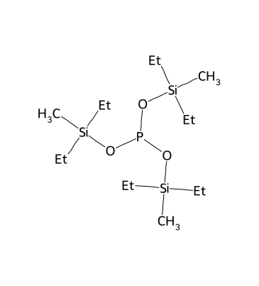 CC[Si](C)(CC)OP(O[Si](C)(CC)CC)O[Si](C)(CC)CC